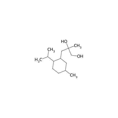 CC1CCC(C(C)C)C(CC(C)(O)CO)C1